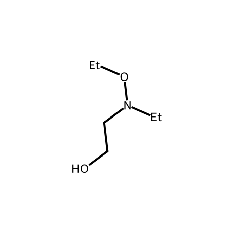 [CH2]CON(CC)CCO